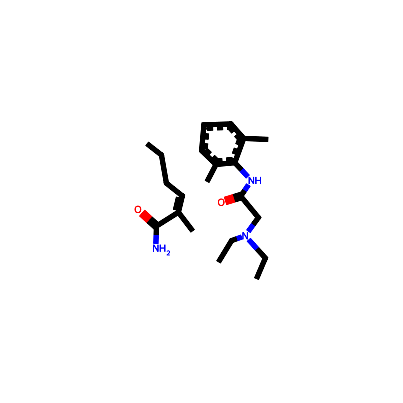 CCCC=C(C)C(N)=O.CCN(CC)CC(=O)Nc1c(C)cccc1C